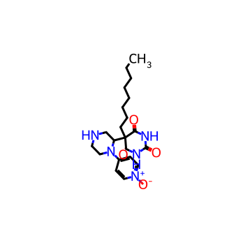 CCCCCCCCC1(C2CNCCN2c2cc[n+]([O-])cc2)C(=O)NC(=O)NC1=O